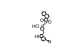 Cl.N#Cc1ccc2[nH]cc(CC3CCN(CCN4C(=O)c5ccc6ccccc6c5C4=O)C3)c2c1